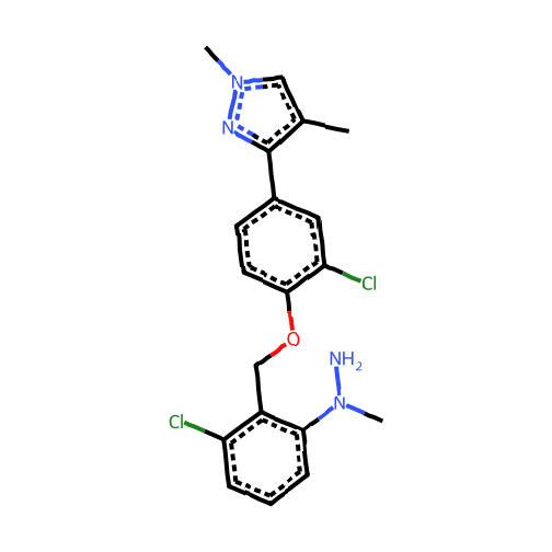 Cc1cn(C)nc1-c1ccc(OCc2c(Cl)cccc2N(C)N)c(Cl)c1